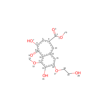 COC(=O)c1cc(O)c(=O)c2c(OC)c(O)c(OCCO)cc2c1